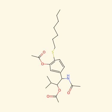 CCCCCCCSc1ccc(C(NC(C)=O)C(OC(C)=O)C(C)C)cc1OC(C)=O